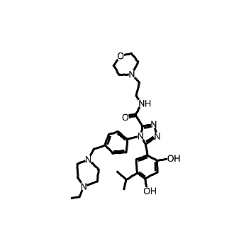 CCN1CCN(Cc2ccc(-n3c(C(=O)NCCN4CCOCC4)nnc3-c3cc(C(C)C)c(O)cc3O)cc2)CC1